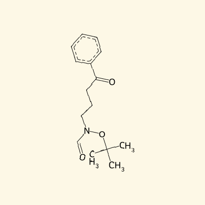 CC(C)(C)ON(C=O)CCCC(=O)c1ccccc1